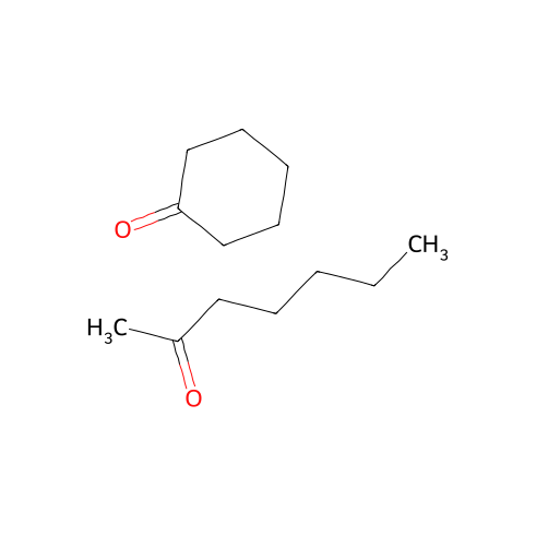 CCCCCC(C)=O.O=C1CCCCC1